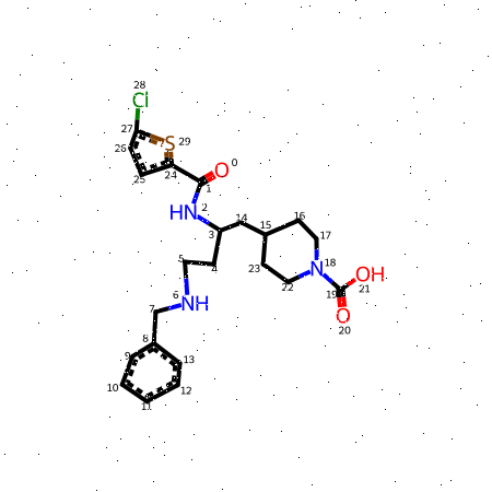 O=C(NC(CCNCc1ccccc1)CC1CCN(C(=O)O)CC1)c1ccc(Cl)s1